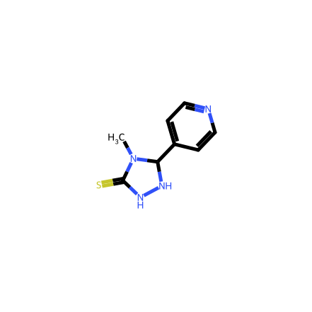 CN1C(=S)NNC1c1ccncc1